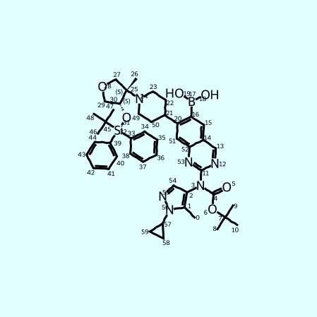 Cc1c(N(C(=O)OC(C)(C)C)c2ncc3cc(B(O)O)c(C4CCN([C@@]5(C)COC[C@H]5O[Si](c5ccccc5)(c5ccccc5)C(C)(C)C)CC4)cc3n2)cnn1C1CC1